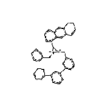 C1=CCCC(c2cccc(-c3cccc(C[N@]4C(c5cccc6cc7c(cc56)C=CCC7)[N@]4Cc4ccccc4)c3)c2)=C1